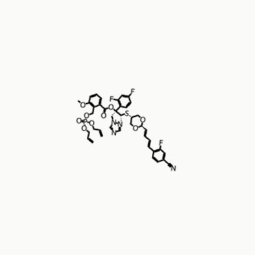 C=CCOP(=O)(OCC=C)OCc1c(OC)cccc1C(=O)O[C@@](Cn1cncn1)(c1ccc(F)cc1F)[C@@H](C)S[C@H]1CO[C@H](C=CC=Cc2ccc(C#N)cc2F)OC1